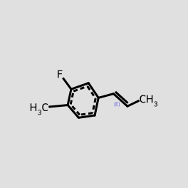 C/C=C/c1ccc(C)c(F)c1